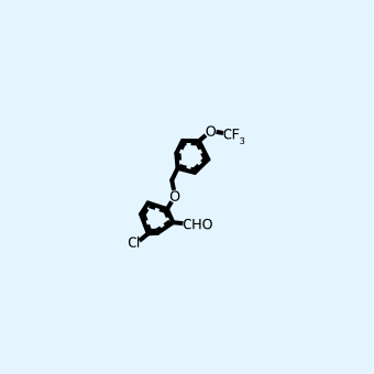 O=Cc1cc(Cl)ccc1OCc1ccc(OC(F)(F)F)cc1